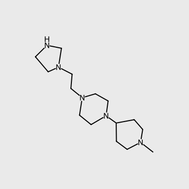 CN1CCC(N2CCN(CCN3CCNC3)CC2)CC1